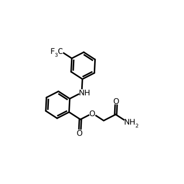 NC(=O)COC(=O)c1ccccc1Nc1cccc(C(F)(F)F)c1